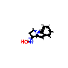 O/N=C1\CCn2c1cc1ccccc12